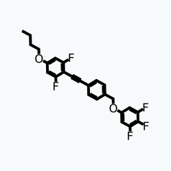 CCCCOc1cc(F)c(C#Cc2ccc(COc3cc(F)c(F)c(F)c3)cc2)c(F)c1